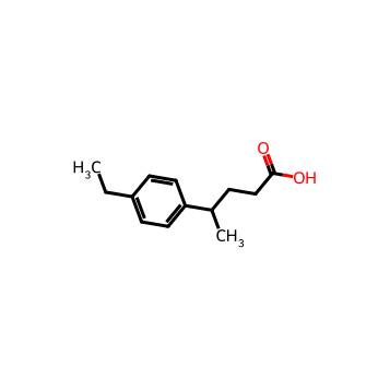 CCc1ccc(C(C)CCC(=O)O)cc1